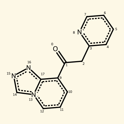 O=C(Cc1ccccn1)c1cccn2cnnc12